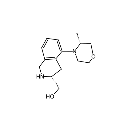 C[C@@H]1COCCN1c1cccc2c1C[C@H](CO)NC2